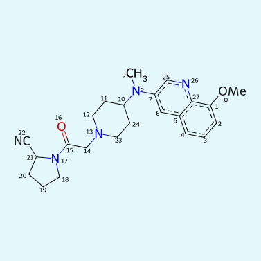 COc1cccc2cc(N(C)C3CCN(CC(=O)N4CCCC4C#N)CC3)cnc12